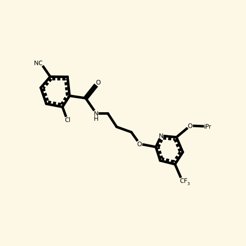 CC(C)Oc1cc(C(F)(F)F)cc(OCCCNC(=O)c2cc(C#N)ccc2Cl)n1